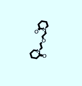 O=C1CCCCN1CCOCCN1CCCCC1=O